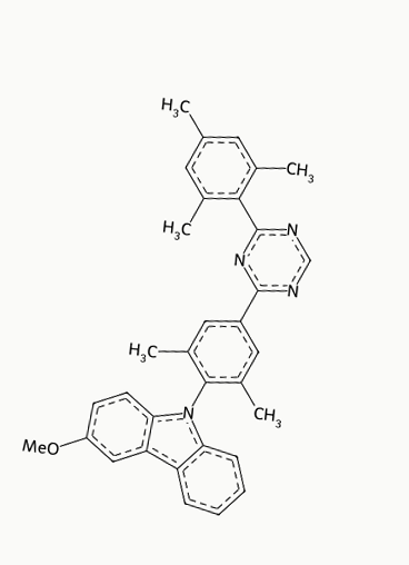 COc1ccc2c(c1)c1ccccc1n2-c1c(C)cc(-c2ncnc(-c3c(C)cc(C)cc3C)n2)cc1C